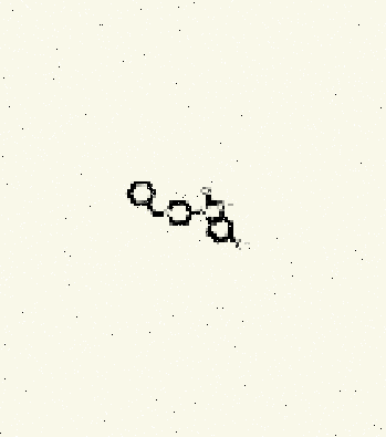 Cc1ccc2c(c1)[nH]c(=O)n2C1CCN(CC2CCCCC2)CC1